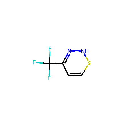 FC(F)(F)C1=NNSC=C1